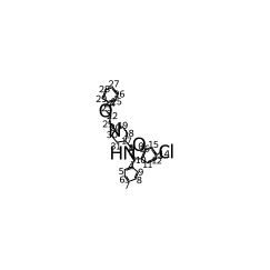 O=C(N[C@@H](c1ccccc1)c1ccc(Cl)cc1)C1CCN(CCOc2ccccc2)CC1